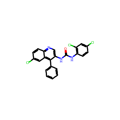 O=C(Nc1ccc(Cl)cc1Cl)Nc1cnc2ccc(Cl)cc2c1-c1ccccc1